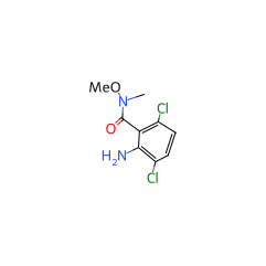 CON(C)C(=O)c1c(Cl)ccc(Cl)c1N